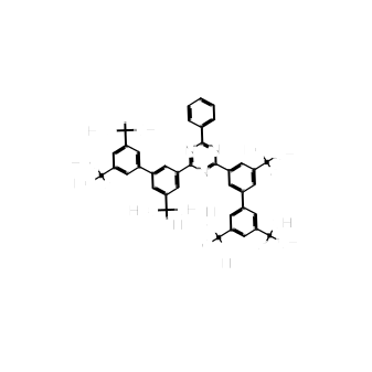 CC(C)(C)c1cc(-c2cc(C(C)(C)C)cc(C(C)(C)C)c2)cc(-c2nc(-c3ccccc3)nc(-c3cc(-c4cc(C(C)(C)C)cc(C(C)(C)C)c4)cc(C(C)(C)C)c3)n2)c1